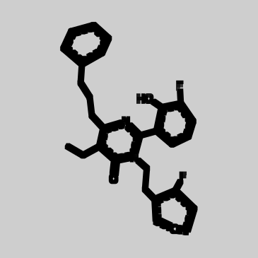 CCc1c(CCCc2ccccc2)nc(-c2cccc(F)c2O)n(CCc2ccccc2F)c1=O